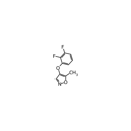 Cc1on[c]c1Oc1cccc(F)c1F